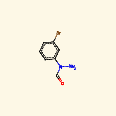 NN(C=O)c1[c]ccc(Br)c1